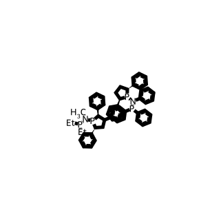 CCP(CC)N(C)P1[C@@H](c2ccccc2)CC(c2ccc(P(c3ccccc3)N(c3ccccc3)P3[C@@H](c4ccccc4)CC[C@@H]3c3ccccc3)cc2)[C@@H]1c1ccccc1